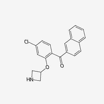 O=C(c1ccc2ccccc2c1)c1ccc(Cl)cc1OC1CNC1